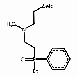 CCP(=O)(CCN(C)CCSC)c1ccccc1